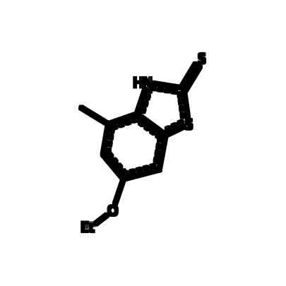 CCOc1cc(C)c2[nH]c(=S)sc2c1